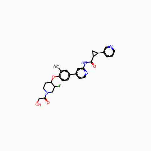 N#Cc1cc(-c2ccnc(NC(=O)C3C[C@H]3c3cccnc3)c2)ccc1OC1CCN(C(=O)CO)CC1F